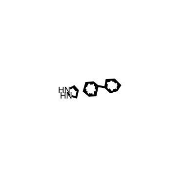 C1=CNNC1.c1ccc(-c2ccccc2)cc1